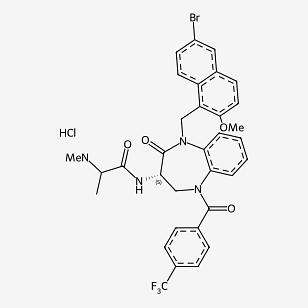 CNC(C)C(=O)N[C@H]1CN(C(=O)c2ccc(C(F)(F)F)cc2)c2ccccc2N(Cc2c(OC)ccc3cc(Br)ccc23)C1=O.Cl